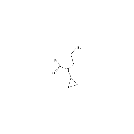 CC(C)C(=O)N(CCC(C)(C)C)C1CC1